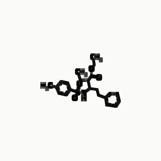 CC=C(C(=O)OCC)C(CCc1ccccc1)NS(=O)(=O)c1ccc(C)cc1